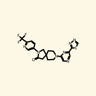 O=C1CC2(CCN(c3cncc(-c4nncs4)n3)CC2)CN1c1ccc(C(F)(F)F)nc1